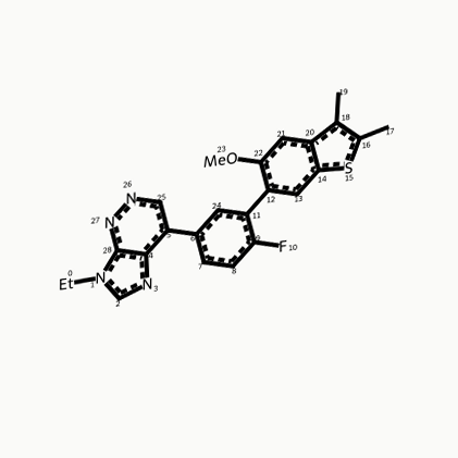 CCn1cnc2c(-c3ccc(F)c(-c4cc5sc(C)c(C)c5cc4OC)c3)cnnc21